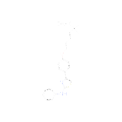 CCOC(=O)C(C)(C)CCCCOc1ccc(-c2csc(Nc3ccccc3)n2)cc1